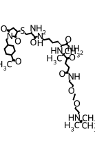 CC(=O)C1CCC(CN2C(=O)CC(SC[C@@H](N)C(=O)NCCCC[C@H](NC(C)(C)C(=O)CCC(=O)NCCOCCOCCNC(C)(C)C)C(N)=O)C2=O)CC1